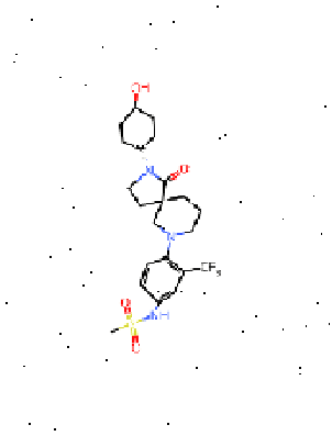 CS(=O)(=O)Nc1ccc(N2CCC[C@]3(CCN([C@H]4CC[C@H](O)CC4)C3=O)C2)c(C(F)(F)F)c1